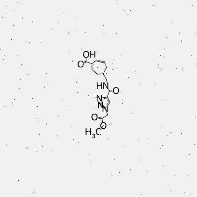 COC(=O)Cn1cc(C(=O)NCC2=CC=C(C(=O)O)C=CC2)nn1